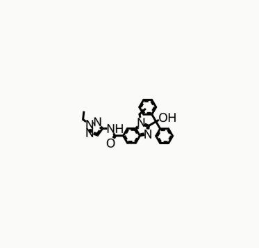 CCn1ncc(NC(=O)c2ccc3nc(C(O)(c4ccccc4)c4ccccc4)n(CC)c3c2)n1